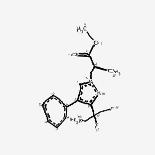 COC(=O)C(C)n1cc(-c2ccccc2)c(C(F)(F)P)n1